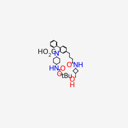 CC(C)(C)OC(=O)NC1CCC(N(C(=O)O)c2cc(CCCC(=O)N[C@H]3C[C@H](CO)C3)ccc2-c2ccccc2)CC1